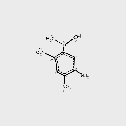 CN(C)c1cc(N)c([N+](=O)[O-])cc1[N+](=O)[O-]